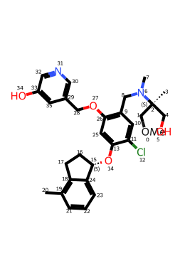 COC[C@](C)(CO)N(C)Cc1cc(Cl)c(O[C@H]2CCc3c(C)cccc32)cc1OCc1cncc(O)c1